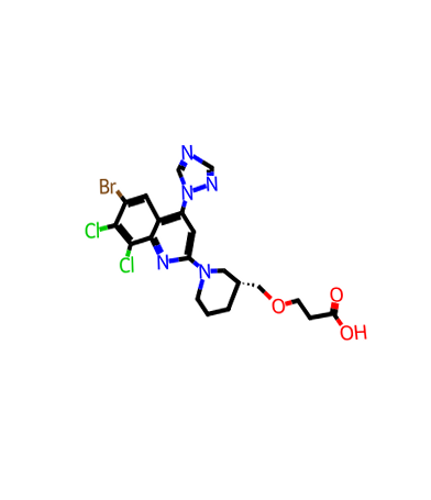 O=C(O)CCOC[C@@H]1CCCN(c2cc(-n3cncn3)c3cc(Br)c(Cl)c(Cl)c3n2)C1